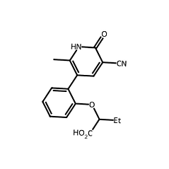 CCC(Oc1ccccc1-c1cc(C#N)c(=O)[nH]c1C)C(=O)O